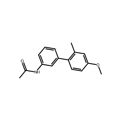 COc1ccc(-c2[c]ccc(NC(C)=O)c2)c(C)c1